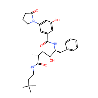 C[C@H](C[C@@H](O)[C@H](Cc1ccccc1)NC(=O)c1cc(O)cc(N2CCCC2=O)c1)C(=O)NCCC(C)(C)C